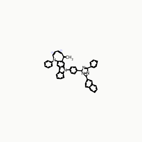 C=C1/C=C\C=C/N(c2ccccc2)c2cc3c4ccccc4n(-c4ccc(C5N=C(c6ccccc6)N6C(c7ccc8ccccc8c7)N56)cc4)c3cc21